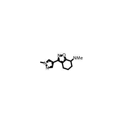 CNC1CCCc2c(-c3cnn(C)c3)noc21